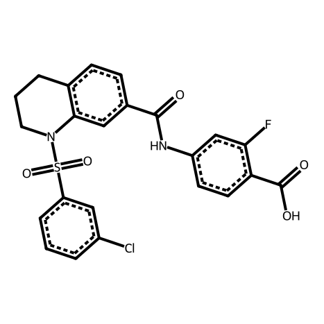 O=C(Nc1ccc(C(=O)O)c(F)c1)c1ccc2c(c1)N(S(=O)(=O)c1cccc(Cl)c1)CCC2